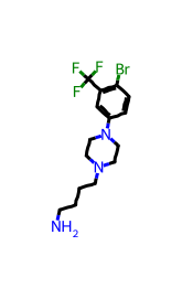 NCCCCN1CCN(c2ccc(Br)c(C(F)(F)F)c2)CC1